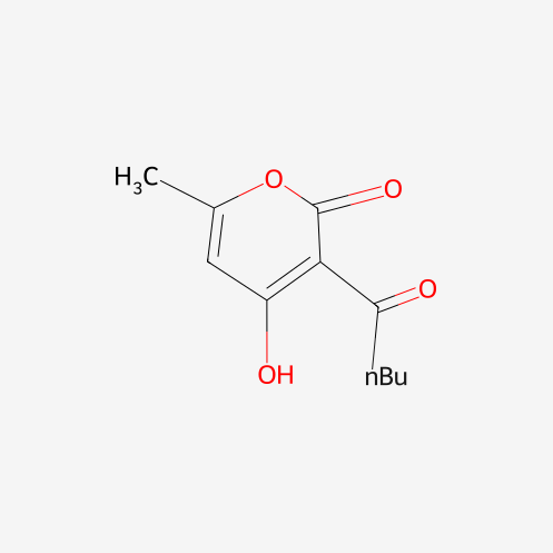 CCCCC(=O)c1c(O)cc(C)oc1=O